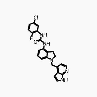 O=C(Nc1cc(Cl)ccc1F)Nc1cccc2c1CCN2Cc1ccnc2[nH]ccc12